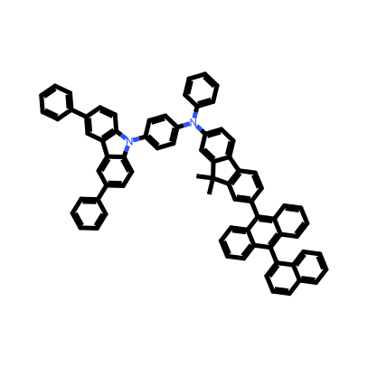 CC1(C)c2cc(-c3c4ccccc4c(-c4cccc5ccccc45)c4ccccc34)ccc2-c2ccc(N(c3ccccc3)c3ccc(-n4c5ccc(-c6ccccc6)cc5c5cc(-c6ccccc6)ccc54)cc3)cc21